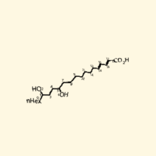 CCCCCCC(O)CCC(O)CCCCCCCC=CC=CC(=O)O